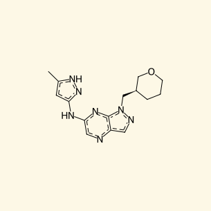 Cc1cc(Nc2cnc3cnn(C[C@@H]4CCCOC4)c3n2)n[nH]1